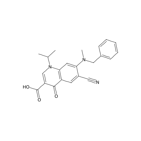 CC(C)n1cc(C(=O)O)c(=O)c2cc(C#N)c(N(C)Cc3ccccc3)cc21